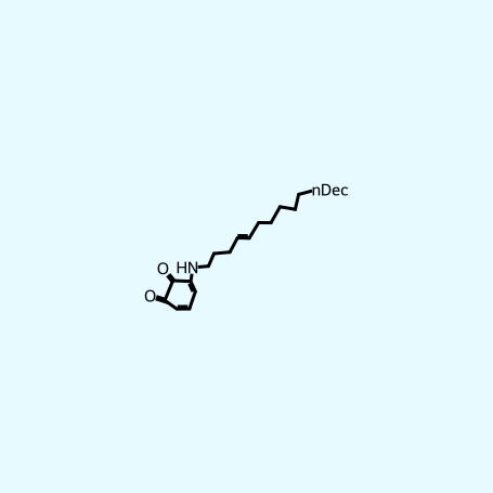 CCCCCCCCCCCCCCCC=CCCCNC1=CC=CC(=O)C1=O